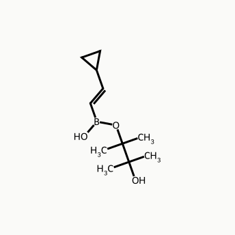 CC(C)(O)C(C)(C)OB(O)/C=C/C1CC1